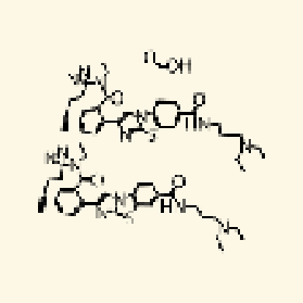 C#CCCC1(N(CC)C(=O)c2ccccc2-c2cn3c(n2)sc2cc(C(=O)NCCCN(CC)CC)ccc23)N=N1.C#CCCC1(N(CC)C(=O)c2ccccc2-c2cn3c(n2)sc2cc(C(=O)NCCCN(CC)CC)ccc23)N=N1.O=CO